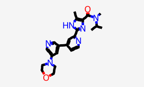 Cc1[nH]c(-c2cc(-c3cncc(N4CCOCC4)c3)ccn2)nc1C(=O)N(C)C(C)C